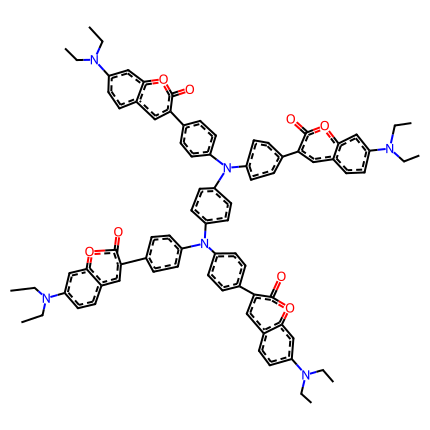 CCN(CC)c1ccc2cc(-c3ccc(N(c4ccc(-c5cc6ccc(N(CC)CC)cc6oc5=O)cc4)c4ccc(N(c5ccc(-c6cc7ccc(N(CC)CC)cc7oc6=O)cc5)c5ccc(-c6cc7ccc(N(CC)CC)cc7oc6=O)cc5)cc4)cc3)c(=O)oc2c1